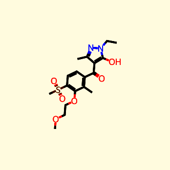 CCn1nc(C)c(C(=O)c2ccc(S(C)(=O)=O)c(OCCOC)c2C)c1O